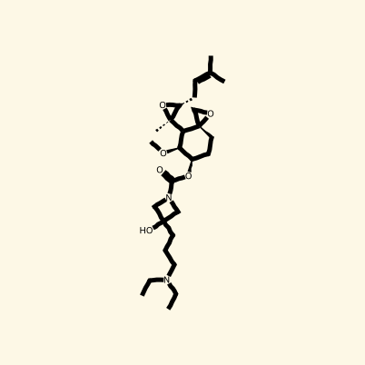 CCN(CC)CCCC1(O)CN(C(=O)O[C@@H]2CC[C@]3(CO3)C([C@@]3(C)O[C@@H]3CC=C(C)C)[C@@H]2OC)C1